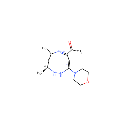 CC(=O)C1=N/C(C)C[C@H](C)NN/C(N2CCOCC2)=C\1